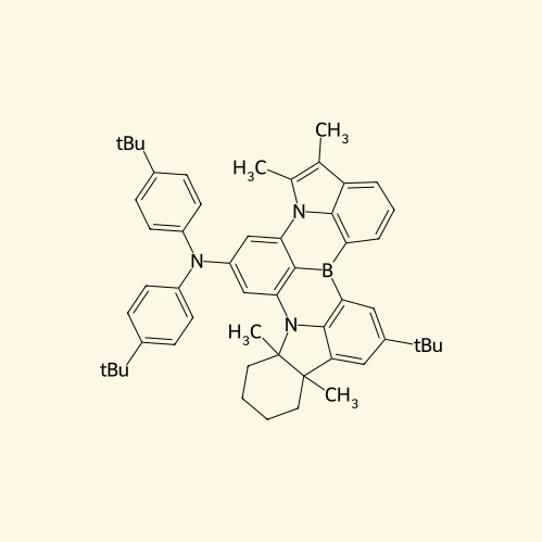 Cc1c(C)n2c3c(cccc13)B1c3cc(C(C)(C)C)cc4c3N(c3cc(N(c5ccc(C(C)(C)C)cc5)c5ccc(C(C)(C)C)cc5)cc-2c31)C1(C)CCCCC41C